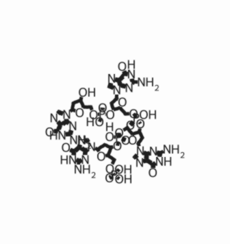 Nc1nc2c(ncn2C2CC(O)C(COP(=O)(O)OC3CC(n4cnc5c(=O)[nH]c(N)nc54)OC3COP(=O)(O)OC3CC(n4cnc5c(=O)[nH]c(N)nc54)OC3COP(=O)(O)OC3CC(n4cnc5c(=O)[nH]c(N)nc54)OC3COP(=O)(O)O)O2)c(=O)[nH]1